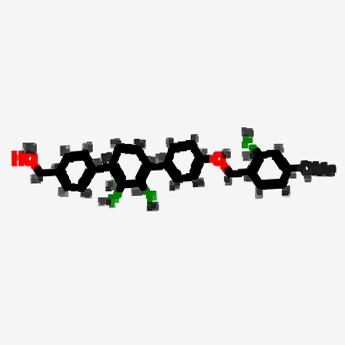 COc1ccc(COc2ccc(-c3ccc(-c4ccc(CO)cc4)c(F)c3F)cc2)c(F)c1